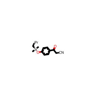 CC(C)C[Si](C)(C)Oc1ccc(C(=O)CC#N)cc1